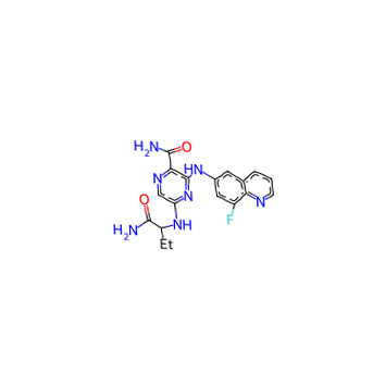 CCC(Nc1cnc(C(N)=O)c(Nc2cc(F)c3ncccc3c2)n1)C(N)=O